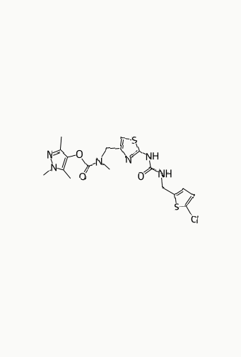 Cc1nn(C)c(C)c1OC(=O)N(C)Cc1csc(NC(=O)NCc2ccc(Cl)s2)n1